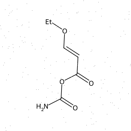 CCOC=CC(=O)OC(N)=O